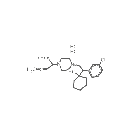 C=C=CC(CCCCCC)N1CCN(CC(c2cccc(Cl)c2)C2(O)CCCCC2)CC1.Cl.Cl